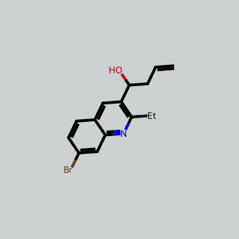 C=CCC(O)c1cc2ccc(Br)cc2nc1CC